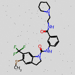 CSc1cc2c(cc1C(F)(F)F)N(C(=O)Nc1cccc(C(=O)NCCN3CCCCC3)c1)CC2